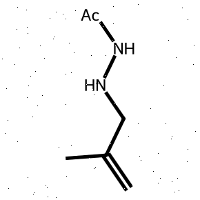 C=C(C)CNNC(C)=O